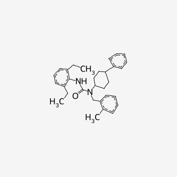 CCc1cccc(CC)c1NC(=O)N(Cc1ccccc1C)C1CCC(c2ccccc2)CC1